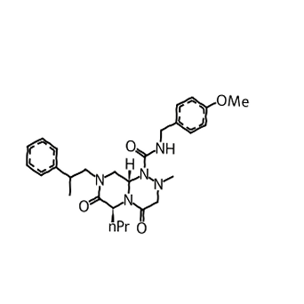 CCC[C@H]1C(=O)N(CC(C)c2ccccc2)C[C@H]2N1C(=O)CN(C)N2C(=O)NCc1ccc(OC)cc1